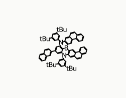 CC(C)(C)c1cc(N2c3cc4ccc5ccccc5c4cc3B3c4cc5c(ccc6ccccc65)cc4N(c4cc(C(C)(C)C)cc(C(C)(C)C)c4)c4cc(-c5ccc6ccccc6c5)cc2c43)cc(C(C)(C)C)c1